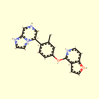 Cc1cc(Oc2nccc3occc23)ccc1-c1cncc2nccn12